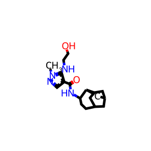 Cn1ncc(C(=O)NC2CCC3CC4CC(C3)C2C4)c1NCCO